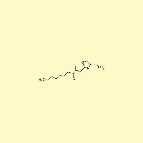 CCCCCCCC(=O)NCc1nc(CC)co1